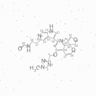 Cn1cnc(COc2cc(-c3c[nH]c4cnc(CCNC=O)cc34)nc3c2C=COC32C=COC2)n1